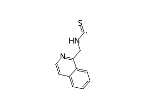 S=[C]NCc1nccc2ccccc12